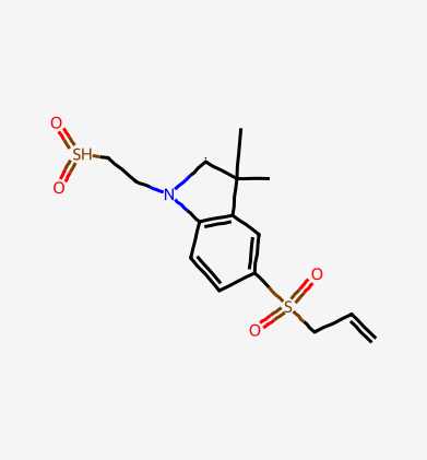 C=CCS(=O)(=O)c1ccc2c(c1)C(C)(C)[CH]N2CC[SH](=O)=O